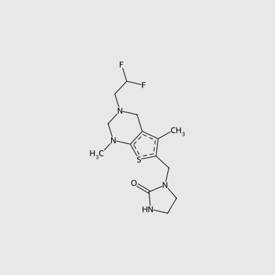 Cc1c(CN2CCNC2=O)sc2c1CN(CC(F)F)CN2C